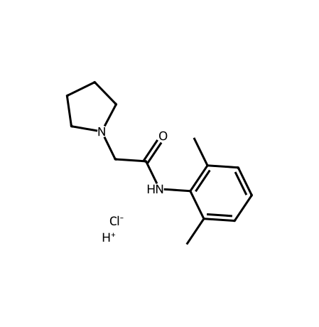 Cc1cccc(C)c1NC(=O)CN1CCCC1.[Cl-].[H+]